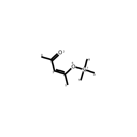 CC(=O)C=C(C)O[Si](C)(C)C